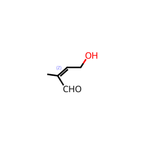 C/C(C=O)=C/CO